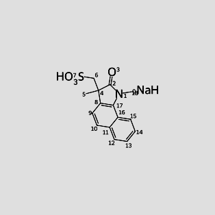 CN1C(=O)C(C)(CS(=O)(=O)O)c2ccc3ccccc3c21.[NaH]